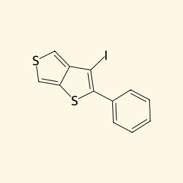 Ic1c(-c2ccccc2)sc2cscc12